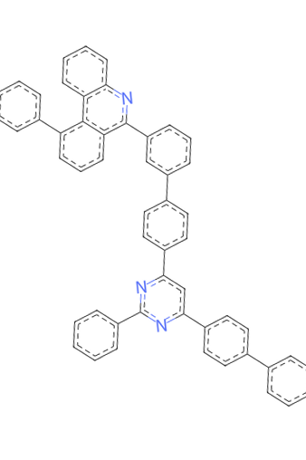 c1ccc(-c2ccc(-c3cc(-c4ccc(-c5cccc(-c6nc7ccccc7c7c(-c8ccccc8)cccc67)c5)cc4)nc(-c4ccccc4)n3)cc2)cc1